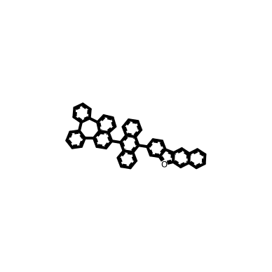 c1ccc2c(c1)-c1ccccc1-c1ccc(-c3c4ccccc4c(-c4ccc5c(c4)oc4cc6ccccc6cc45)c4ccccc34)c3cccc-2c13